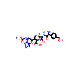 NC(=O)NCCC(Sc1nnn[nH]1)C1=C(C(=O)O)N2C(=O)C(NC(=O)C(N)c3ccc(CO)cc3)[C@@H]2SC1